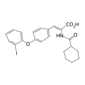 O=C(O)C(=Cc1ccc(Oc2ccccc2I)cc1)NC(=O)C1CCCCC1